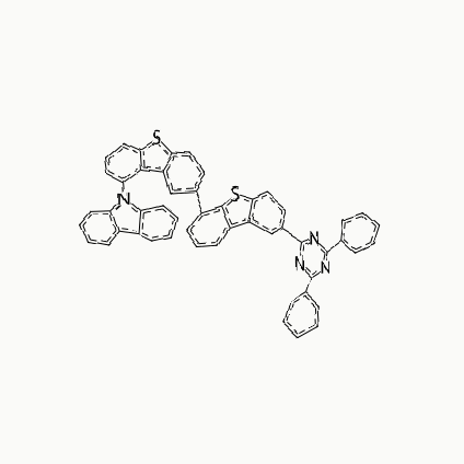 c1ccc(-c2nc(-c3ccccc3)nc(-c3ccc4sc5c(-c6ccc7sc8cccc(-n9c%10ccccc%10c%10ccccc%109)c8c7c6)cccc5c4c3)n2)cc1